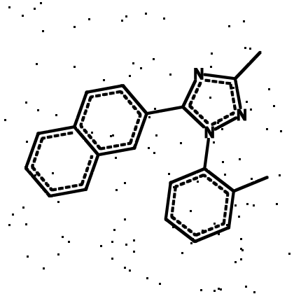 Cc1nc(-c2ccc3ccccc3c2)n(-c2ccccc2C)n1